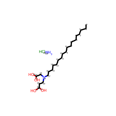 CCCCCCCCCCCCCCCCCCN(CCC(O)O)CC(O)O.Cl.N